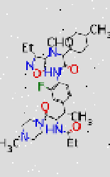 CCC(=O)N[C@@H](C(=O)N1CCN(C)CC1)[C@@H](C)c1ccc(NC(=O)[C@H](C2CCC(C)CC2)N(C=O)c2conc2CC)c(F)c1